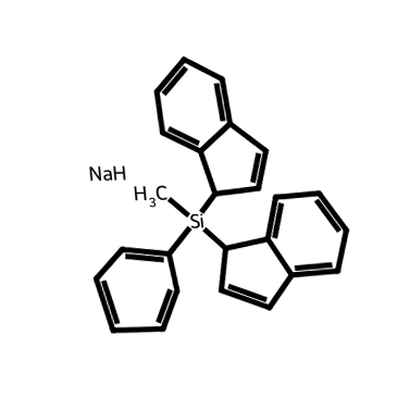 C[Si](c1ccccc1)(C1C=Cc2ccccc21)C1C=Cc2ccccc21.[NaH]